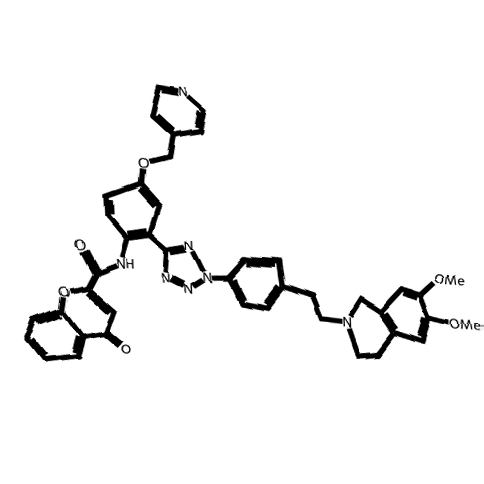 COc1cc2c(cc1OC)CN(CCc1ccc(-n3nnc(-c4cc(OCc5ccncc5)ccc4NC(=O)c4cc(=O)c5ccccc5o4)n3)cc1)CC2